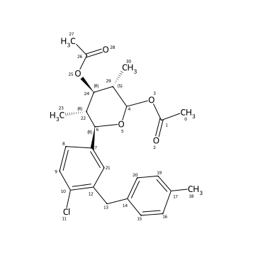 CC(=O)OC1O[C@@H](c2ccc(Cl)c(Cc3ccc(C)cc3)c2)[C@H](C)[C@@H](OC(C)=O)[C@@H]1C